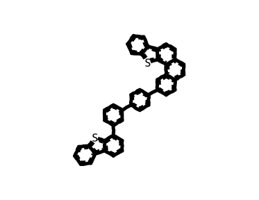 c1cc(-c2ccc(-c3ccc4ccc5ccc6c7ccccc7sc6c5c4c3)cc2)cc(-c2cccc3c2sc2ccccc23)c1